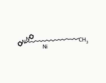 CCCCCCCCCCCCCCCCCCCCCCCCCCCC(C=Nc1ccccc1)=Nc1ccccc1.[Ni]